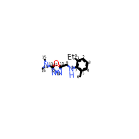 CCc1cccc(C)c1NCc1nnc(N(C)C)o1